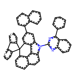 c1ccc(-c2nc(-n3c4cc(-c5cccc6ccccc56)cc5c4c4c6c(cccc6ccc43)C53c4ccccc4-c4ccccc43)nc3ccccc23)cc1